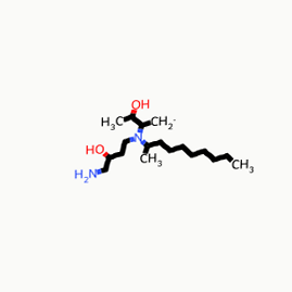 [CH2]C(C(C)O)N(CCC(O)CN)C(C)CCCCCCCC